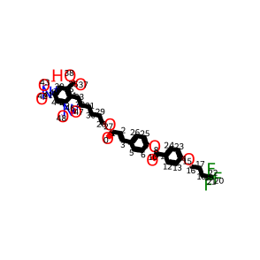 O=C(C=Cc1ccc(OC(=O)c2ccc(OCCCC(F)(F)F)cc2)cc1)OCCCCCCc1c(C(=O)O)cc([N+](=O)[O-])cc1[N+](=O)[O-]